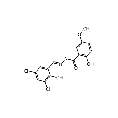 COc1ccc(O)c(C(=O)N/N=C/c2cc(Cl)cc(Cl)c2O)c1